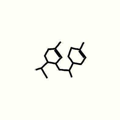 [CH2]C(C)C1CCC(C)=CC1CC(C)C1CC=C(C)CC1